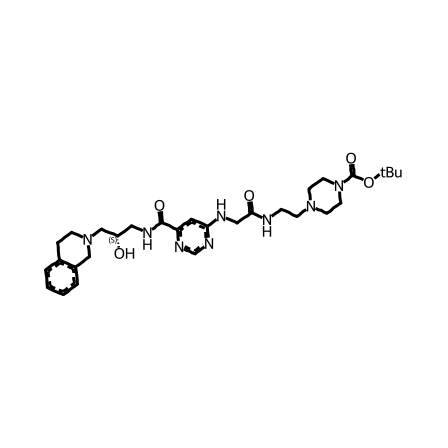 CC(C)(C)OC(=O)N1CCN(CCNC(=O)CNc2cc(C(=O)NC[C@H](O)CN3CCc4ccccc4C3)ncn2)CC1